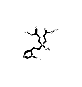 CCCOC(=O)CC[N+](C)(CCC(=O)OCCC)CCc1cncn1C